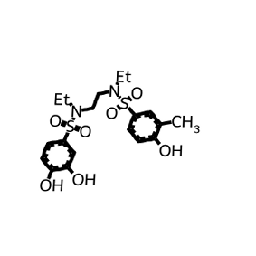 CCN(CCN(CC)S(=O)(=O)c1ccc(O)c(O)c1)S(=O)(=O)c1ccc(O)c(C)c1